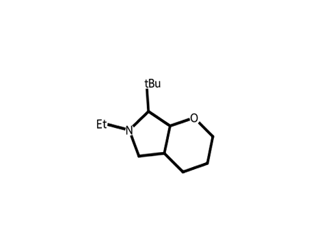 CCN1CC2CCCOC2C1C(C)(C)C